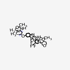 C=N/C(=C\C(=C/C)Oc1ccc2nc(Nc3cc(C(F)(F)F)cn(C4COCCC4OC)c3=O)n(C)c2c1)NC(C)=O